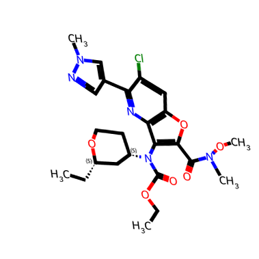 CCOC(=O)N(c1c(C(=O)N(C)OC)oc2cc(Cl)c(-c3cnn(C)c3)nc12)[C@H]1CCO[C@@H](CC)C1